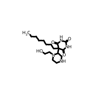 CCCCCCCCC1(C2CNCCN2CCO)C(=O)NC(=O)NC1=O